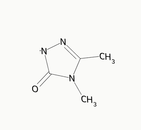 CC1=N[N]C(=O)N1C